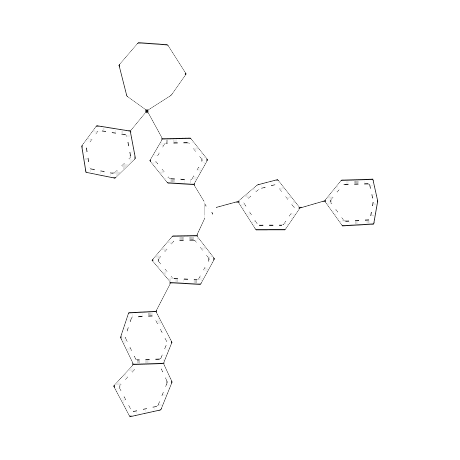 c1ccc(-c2ccc(N(c3ccc(-c4ccc5ccccc5c4)cc3)c3ccc(C4(c5ccccc5)CCCCCC4)cc3)cc2)cc1